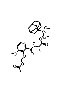 COc1ccnc(C(=O)N[C@@H](C)C(=O)O[C@@H](C)[C@@H](OC)C23CC4CC(CC(C4)C2)C3)c1OCOC(C)=O